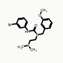 COc1cccc(CN(CCN(C)C)C(=O)Nc2cccc(Br)c2)c1